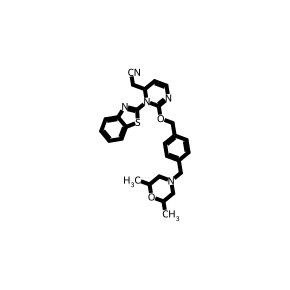 CC1CN(Cc2ccc(COC3=NC=CC(CC#N)N3c3nc4ccccc4s3)cc2)CC(C)O1